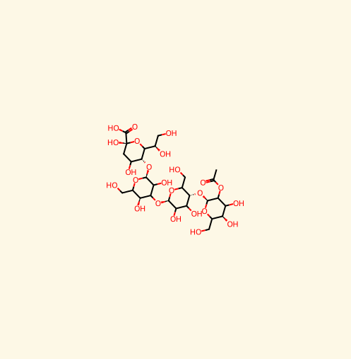 CC(=O)OC1C(O)[C@@H](O)C(CO)O[C@H]1O[C@H]1C(CO)O[C@H](OC2C(O)[C@H](O[C@@H]3C(O)C[C@](O)(C(=O)O)OC3[C@H](O)CO)OC(CO)[C@@H]2O)C(O)C1O